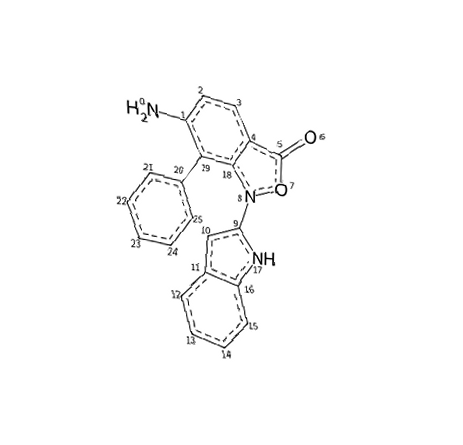 Nc1ccc2c(=O)on(-c3cc4ccccc4[nH]3)c2c1-c1ccccc1